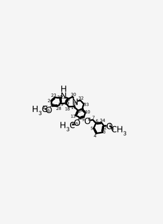 COc1cccc(COc2cc3c(cc2OC)C2Cc4c([nH]c5ccc(OC)cc45)CN2CC3)c1